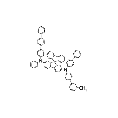 CC1C=CC=C(c2ccc(N(c3ccc(-c4ccccc4)cc3)c3ccc4c(c3)C3(c5ccccc5-c5ccccc53)c3cc(N(c5ccccc5)c5ccc(-c6ccc(-c7ccccc7)cc6)cc5)ccc3-4)cc2)C1